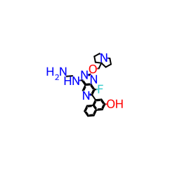 NCCNc1nc(OCC23CCCN2CCC3)nc2c(F)c(-c3cc(O)cc4ccccc34)ncc12